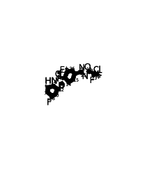 CCOP(=O)(Nc1ccc(F)cc1F)c1ccc(-c2noc(C(F)(F)Cl)n2)cc1